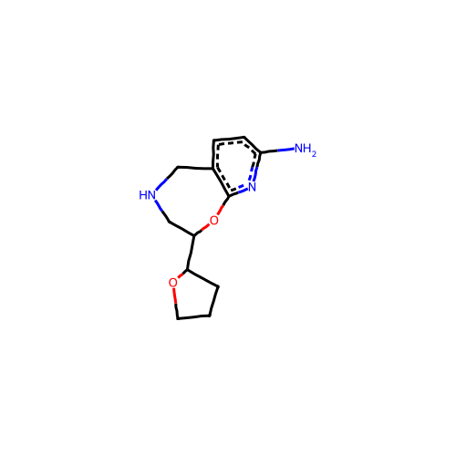 Nc1ccc2c(n1)OC(C1CCCO1)CNC2